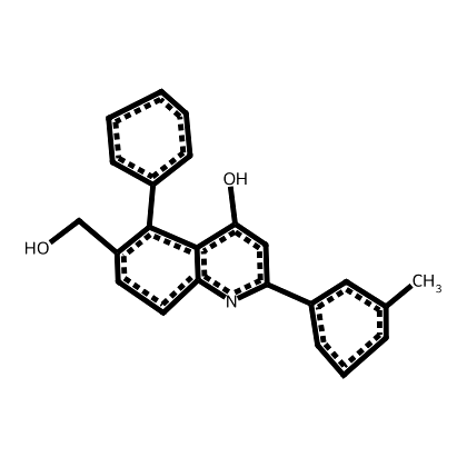 Cc1cccc(-c2cc(O)c3c(-c4ccccc4)c(CO)ccc3n2)c1